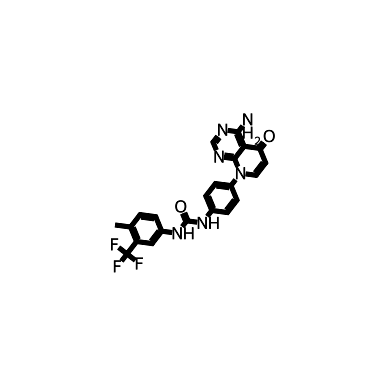 Cc1ccc(NC(=O)Nc2ccc(-n3ccc(=O)c4c(N)ncnc43)cc2)cc1C(F)(F)F